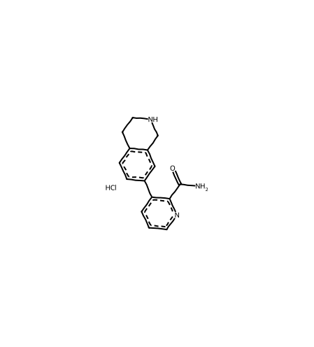 Cl.NC(=O)c1ncccc1-c1ccc2c(c1)CNCC2